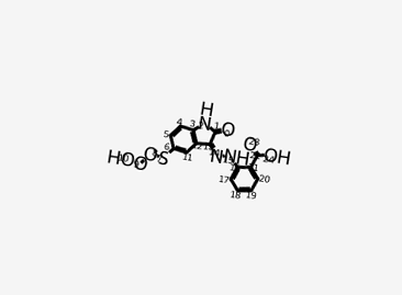 O=C1Nc2ccc(SOOO)cc2/C1=N/Nc1ccccc1C(=O)O